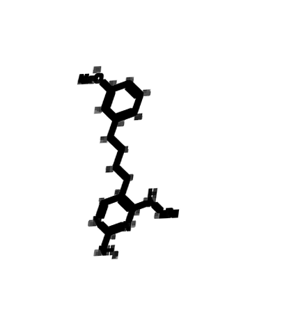 CCCCNc1nc(N)ncc1CCCCc1cccc(OC)c1